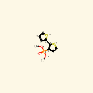 CCOP(=O)(OCC)c1c[c]sc1-c1cc[c]s1